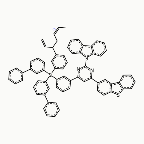 C=CC(C/C=C\C)c1cccc([Si](c2cccc(-c3ccccc3)c2)(c2cccc(-c3ccccc3)c2)c2cccc(-c3cc(-c4ccc5sc6ccccc6c5c4)nc(-n4c5ccccc5c5ccccc54)n3)c2)c1